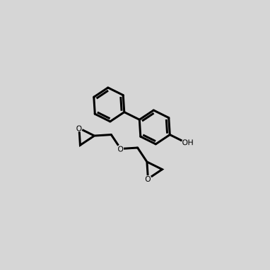 C(OCC1CO1)C1CO1.Oc1ccc(-c2ccccc2)cc1